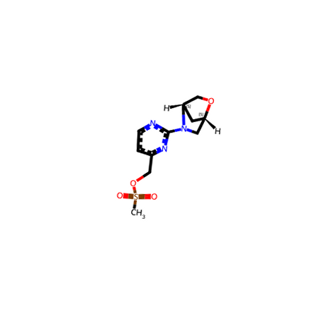 CS(=O)(=O)OCc1ccnc(N2C[C@@H]3C[C@H]2CO3)n1